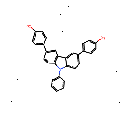 Oc1ccc(-c2ccc3c(c2)c2cc(-c4ccc(O)cc4)ccc2n3-c2ccccc2)cc1